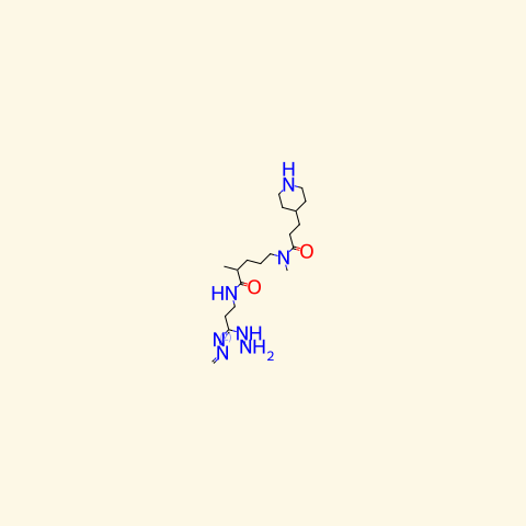 C=N/N=C(/CCNC(=O)C(C)CCCN(C)C(=O)CCC1CCNCC1)NN